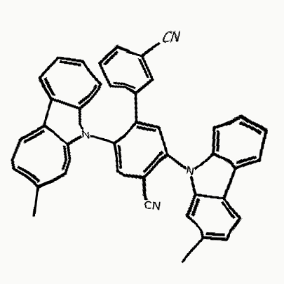 Cc1ccc2c3ccccc3n(-c3cc(-c4cccc(C#N)c4)c(-n4c5ccccc5c5ccc(C)cc54)cc3C#N)c2c1